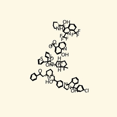 CN1[C@@H](CC(=O)c2ccccc2)CCC[C@H]1C[C@H](O)c1ccccc1.CN1[C@@H]2CCC(C)(C)[C@H]1C[C@H](OC(=O)C(O)(c1cccs1)c1cccs1)C2.O=[N+]([O-])c1ccc(O)c2ncccc12.OC1(c2ccc(Cl)cc2)c2ccccc2C2=NCCN21.O[C@@H](c1cc(C(F)(F)F)nc2c(C(F)(F)F)cccc12)[C@H]1CCCCN1